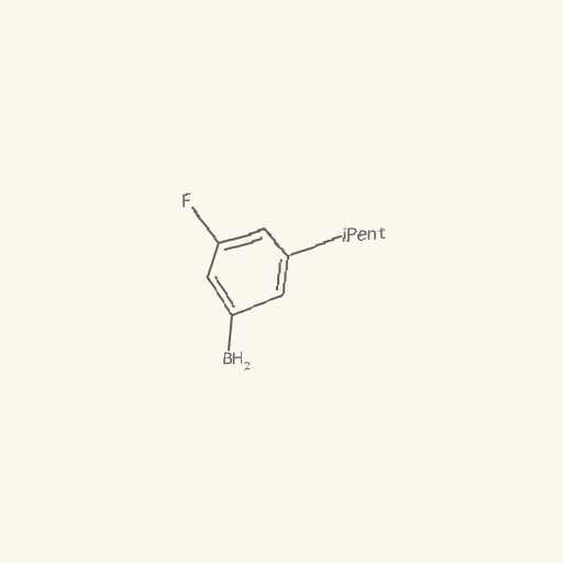 Bc1cc(F)cc(C(C)CCC)c1